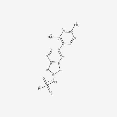 Cc1ccc(-c2ccc3c(c2)CC(NS(=O)(=O)C(C)C)C3)c(C)n1